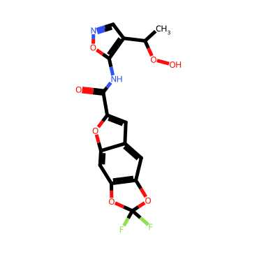 CC(OO)c1cnoc1NC(=O)c1cc2cc3c(cc2o1)OC(F)(F)O3